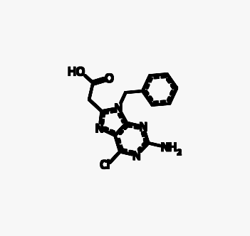 Nc1nc(Cl)c2nc(CC(=O)O)n(Cc3ccccc3)c2n1